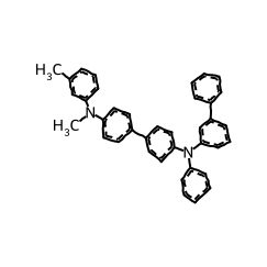 Cc1cccc(N(C)c2ccc(-c3ccc(N(c4ccccc4)c4cccc(-c5ccccc5)c4)cc3)cc2)c1